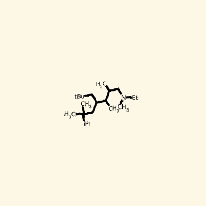 CCN(C)CC(C)C(C)C(CC(C)(C)C)CC(C)(C)C(C)C